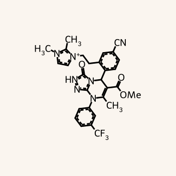 COC(=O)C1=C(C)N(c2cccc(C(F)(F)F)c2)c2n[nH]c(=O)n2C1c1ccc(C#N)cc1CC[n+]1ccn(C)c1C